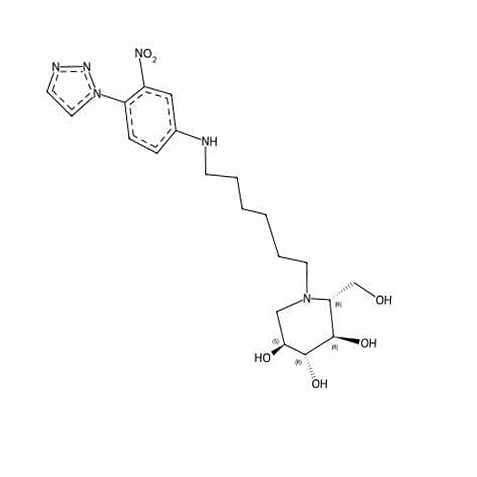 O=[N+]([O-])c1cc(NCCCCCCN2C[C@H](O)[C@@H](O)[C@H](O)[C@H]2CO)ccc1-n1ccnn1